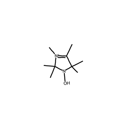 CC1=[N+](C)C(C)(C)N(O)C1(C)C